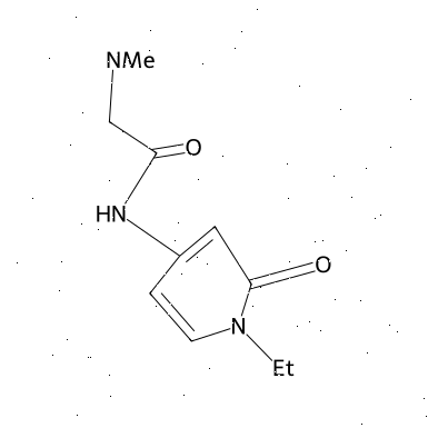 CCn1ccc(NC(=O)CNC)cc1=O